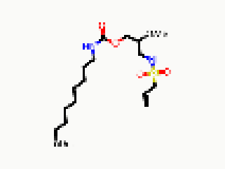 C=CCS(=O)(=O)NCC(COC(=O)NCCCCCCCCCCCCCCCCCC)OC